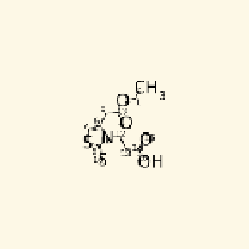 CCOC(=O)Cc1csc(=S)n1CCC(=O)O